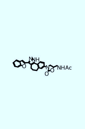 CC(=O)NCC1CN(c2ccc3c(c2)CCCc2c(-c4cc5ccccc5o4)n[nH]c2-3)C(=O)O1